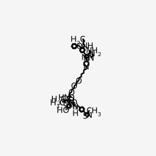 C=CCNc1cc(-c2nn(C3CCN(CCCCCCOCCOCCOCC(=O)N[C@H](C(=O)N4C[C@H](O)C[C@H]4C(=O)NCc4ccc(-c5scnc5C)cc4)C(C)(C)C)CC3)c3ncnc(N)c23)ccc1Oc1ccccc1